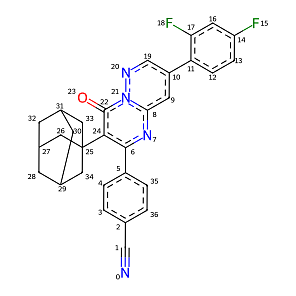 N#Cc1ccc(-c2nc3cc(-c4ccc(F)cc4F)cnn3c(=O)c2C23CC4CC(CC(C4)C2)C3)cc1